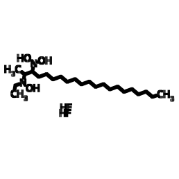 CCCCCCCCCCCCCCCCCCC(C(C)N(O)CC)N(O)O.F.F